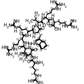 CC(C)[C@H](NC(=O)[C@H](Cc1c[nH]c2ccccc12)NC(=O)[C@H](CCCNC(=N)N)NC(=O)[C@H](CCCNC(=N)N)NC(=O)[C@@H](NC(=O)[C@@H](NC(=O)[C@@H](N)CCCNC(=N)N)C(C)C)C(C)C)C(=O)N[C@@H](CCCNC(=N)N)C(=O)N[C@@H](CCCNC(=N)N)C(=O)O